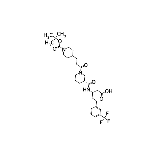 CC(C)(C)OC(=O)N1CCC(CCC(=O)N2CCC[C@@H](C(=O)NC(CCc3cccc(C(F)(F)F)c3)CC(=O)O)C2)CC1